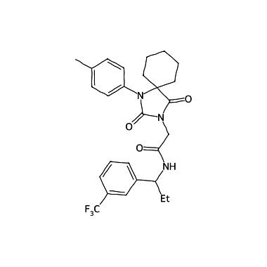 CCC(NC(=O)CN1C(=O)N(c2ccc(C)cc2)C2(CCCCC2)C1=O)c1cccc(C(F)(F)F)c1